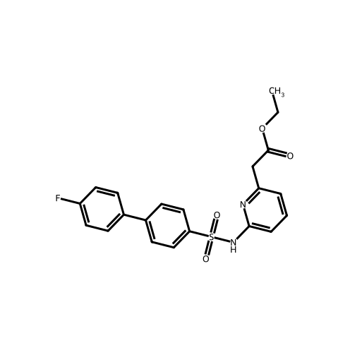 CCOC(=O)Cc1cccc(NS(=O)(=O)c2ccc(-c3ccc(F)cc3)cc2)n1